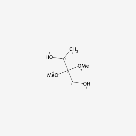 COC(CO)(OC)C(C)O